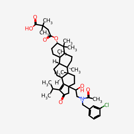 CC(=O)N(Cc1cccc(Cl)c1)CC(O)C12CC[C@]3(C)[C@H](CC[C@@H]4[C@@]5(C)CC[C@H](OC(=O)CC(C)(C)C(=O)O)C(C)(C)C5CC[C@]43C)C1=C(C(C)C)C(=O)C2